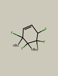 CCCCC1(F)C=CC(F)C(F)(F)C1(F)CCCC